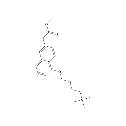 COC(=O)Oc1ccc2c(OCOCC[Si](C)(C)C)cccc2c1